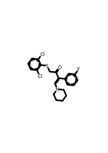 O=C(CSc1c(Cl)cccc1Cl)C(=CN1CCCCC1)c1cccc(F)c1